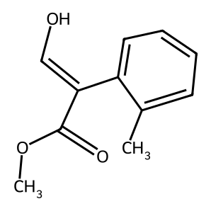 COC(=O)/C(=C/O)c1ccccc1C